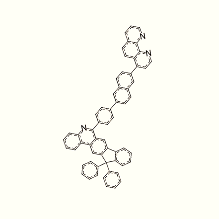 c1ccc(C2(c3ccccc3)c3ccccc3-c3cc4c(-c5ccc(-c6ccc7cc(-c8ccnc9c8ccc8cccnc89)ccc7c6)cc5)nc5ccccc5c4cc32)cc1